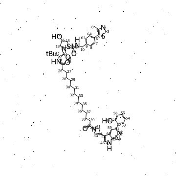 Cc1ncsc1-c1ccc(CNC(=O)[Si@@H]2C[C@@H](O)CN2C(=O)[C@@H](NC(=O)CCCCCCCCCCCCCCC(=O)N2CC(c3c[nH]c4nnc(-c5ccccc5O)cc34)C2)C(C)(C)C)cc1